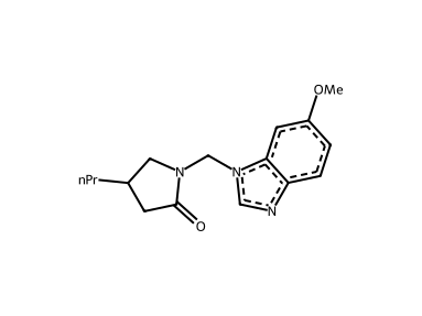 CCCC1CC(=O)N(Cn2cnc3ccc(OC)cc32)C1